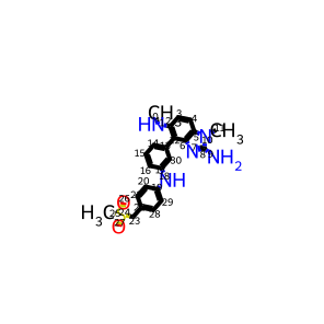 CNc1ccc2c(nc(N)n2C)c1-c1cccc(Nc2ccc(CS(C)(=O)=O)cc2)c1